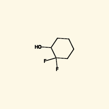 OC1CCCCC1(F)F